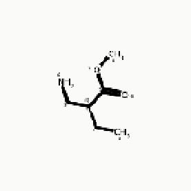 CC[C@@H](CN)C(=O)OC